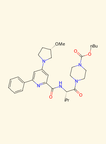 CCCCOC(=O)N1CCN(C(=O)[C@@H](NC(=O)c2cc(N3CC[C@H](OC)C3)cc(-c3ccccc3)n2)C(C)C)CC1